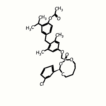 CC(=O)Oc1ccc(Cc2c(C)cc(OC[P@@]3(=O)OCCCCC[C@@H](c4cccc(Cl)c4)O3)cc2C)cc1C(C)C